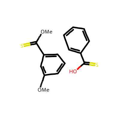 COC(=S)c1cccc(OC)c1.OC(=S)c1ccccc1